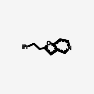 CC(C)CCc1cc2cnccc2o1